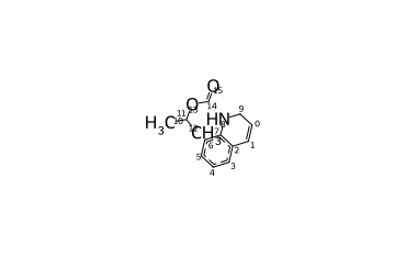 C1=Cc2ccccc2NC1.CC(C)OC=O